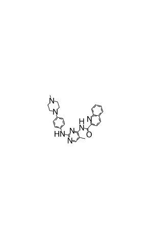 Cc1cnc(Nc2ccc(N3CCN(C)CC3)cc2)nc1NC(=O)c1ccc2ccccc2n1